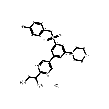 Cl.NCC(N)c1ncc(-c2cc(N3CCOCC3)cc(S(=O)(=O)Cc3ccc(F)cc3)c2)cn1